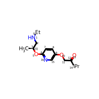 CCNC[C@H](C)Oc1ccc(OCC(=O)C(C)C)cn1